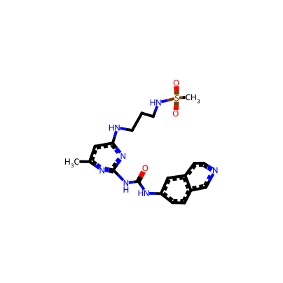 Cc1cc(NCCCNS(C)(=O)=O)nc(NC(=O)Nc2ccc3cnccc3c2)n1